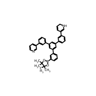 CC1(C)OB(c2cccc(-c3cc(-c4cccc(C5=CNCC=C5)c4)cc(-c4cccc(-c5cccnc5)c4)c3)c2)OC1(C)C